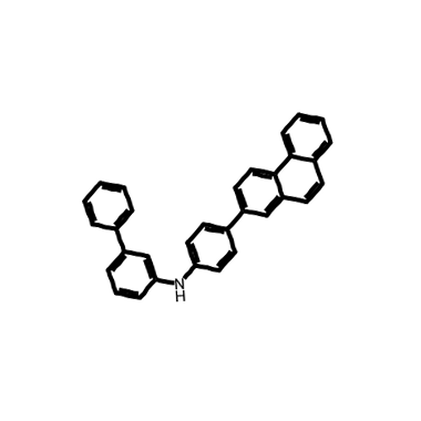 c1ccc(-c2cccc(Nc3ccc(-c4ccc5c(ccc6ccccc65)c4)cc3)c2)cc1